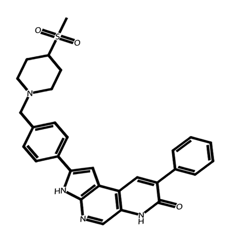 CS(=O)(=O)C1CCN(Cc2ccc(-c3cc4c(ncc5[nH]c(=O)c(-c6ccccc6)cc54)[nH]3)cc2)CC1